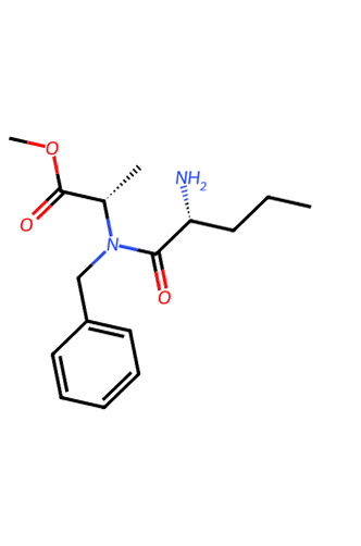 CCC[C@@H](N)C(=O)N(Cc1ccccc1)[C@@H](C)C(=O)OC